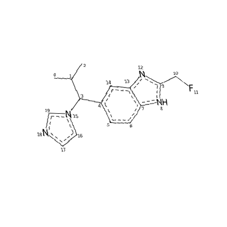 CC(C)C(c1ccc2[nH]c(CF)nc2c1)n1ccnc1